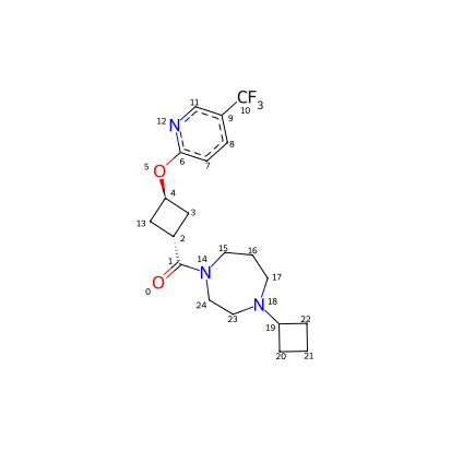 O=C([C@H]1C[C@H](Oc2ccc(C(F)(F)F)cn2)C1)N1CCCN(C2CCC2)CC1